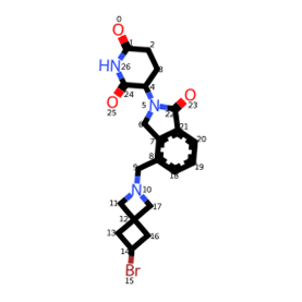 O=C1CCC(N2Cc3c(CN4CC5(CC(Br)C5)C4)cccc3C2=O)C(=O)N1